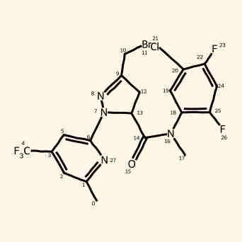 Cc1cc(C(F)(F)F)cc(N2N=C(CBr)CC2C(=O)N(C)c2cc(Cl)c(F)cc2F)n1